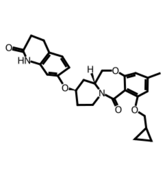 Cc1cc(OCC2CC2)c2c(c1)OC[C@H]1C[C@H](Oc3ccc4c(c3)NC(=O)CC4)CCN1C2=O